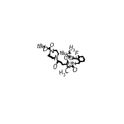 CN(C(=O)NCc1cccc(F)c1Cl)C(CCC(=O)N1CCN(C(=O)OC(C)(C)C)CC1)CO[Si](C)(C)C(C)(C)C